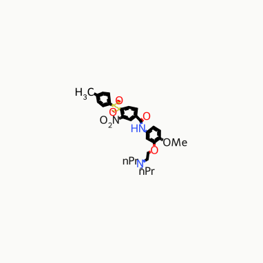 CCCN(CCC)CCOc1cc(NC(=O)c2ccc(S(=O)(=O)c3ccc(C)cc3)c([N+](=O)[O-])c2)ccc1OC